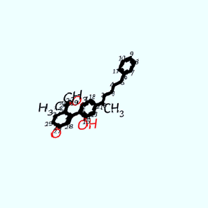 CC(CCCCc1ccccc1)c1cc(O)c2c(c1)OC(C)(C)C1CCC(=O)C=C21